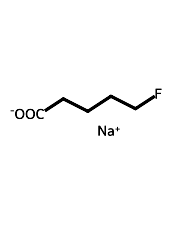 O=C([O-])CCCCF.[Na+]